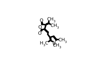 CC(C)=C1C(=O)OC(=O)C1=CCc1cc(C)n(C)c1C